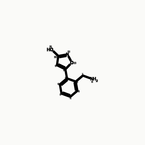 NCc1ccccc1-c1cc(O)no1